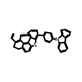 C=CC1=C(/C=C\C)c2c(ccc3sc4c(-c5ccc(-n6c7ccccc7c7ccccc76)cc5)cccc4c23)CC1